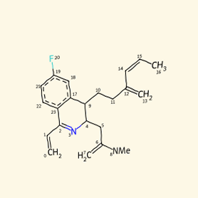 C=CC1=NC(CC(=C)NC)C(CCC(=C)/C=C\C)c2cc(F)ccc21